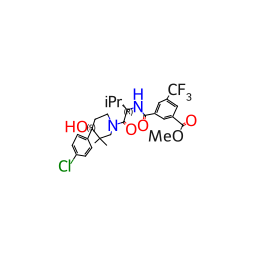 COC(=O)c1cc(C(=O)N[C@@H](C(=O)N2CC[C@](O)(c3ccc(Cl)cc3)C(C)(C)C2)C(C)C)cc(C(F)(F)F)c1